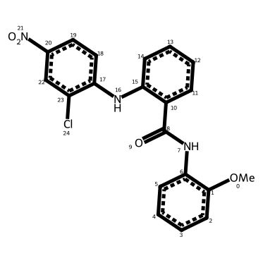 COc1ccccc1NC(=O)c1ccccc1Nc1ccc([N+](=O)[O-])cc1Cl